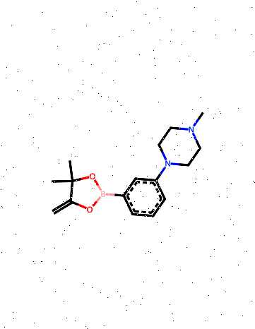 C=C1OB(c2cccc(N3CCN(C)CC3)c2)OC1(C)C